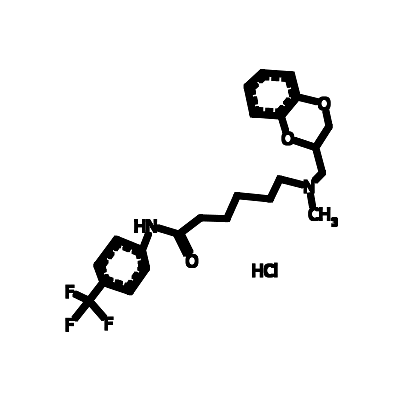 CN(CCCCCC(=O)Nc1ccc(C(F)(F)F)cc1)CC1COc2ccccc2O1.Cl